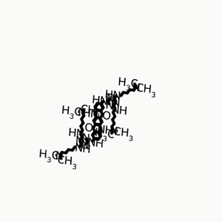 CN(C)CCCCCNc1nc(NCCCCCN(C)C)nc(Nc2ccc3[nH]c4cc5c(=O)c6cc(Nc7nc(NCCCCCN(C)C)nc(NCCCCCN(C)C)n7)ccc6[nH]c5cc4c(=O)c3c2)n1